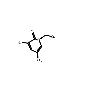 N#CCn1cc(C(F)(F)F)cc(Br)c1=O